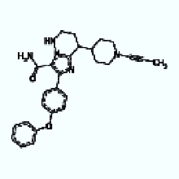 CC#CN1CCC(C2CCNn3c2nc(-c2ccc(Oc4ccccc4)cc2)c3C(N)=O)CC1